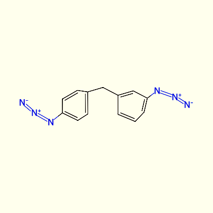 [N-]=[N+]=Nc1ccc(Cc2cccc(N=[N+]=[N-])c2)cc1